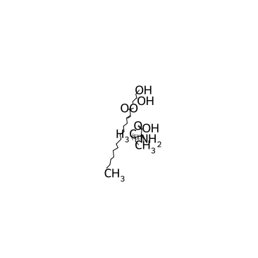 CCCCCCCCCCCCCC=CC(=O)OCC(O)CO.CC[C@H](C)[C@H](N)C(=O)O